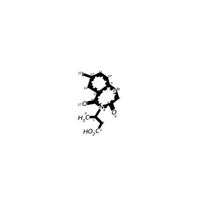 CC(CC(=O)O)n1c(=O)cnc2ccc(I)cc2c1=O